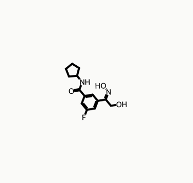 O=C(NC1CCCC1)c1cc(F)cc(/C(CO)=N\O)c1